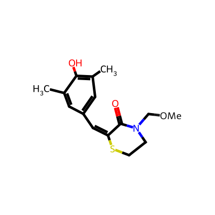 COCN1CCSC(=Cc2cc(C)c(O)c(C)c2)C1=O